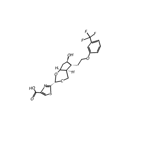 O=C(O)c1csc([C@H]2CC[C@@H]3[C@@H](CCOc4cccc(C(F)(F)F)c4)[C@H](O)C[C@@H]3O2)n1